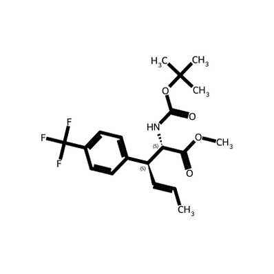 CC=C[C@@H](c1ccc(C(F)(F)F)cc1)[C@H](NC(=O)OC(C)(C)C)C(=O)OC